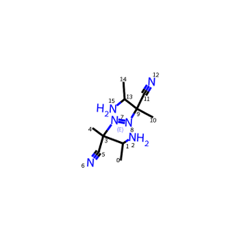 CC(N)C(C)(C#N)/N=N/C(C)(C#N)C(C)N